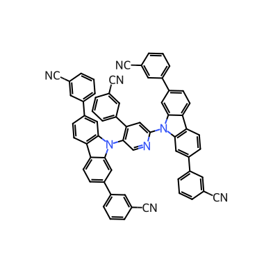 N#Cc1cccc(-c2ccc3c4ccc(-c5cccc(C#N)c5)cc4n(-c4cc(-c5cccc(C#N)c5)c(-n5c6cc(-c7cccc(C#N)c7)ccc6c6ccc(-c7cccc(C#N)c7)cc65)cn4)c3c2)c1